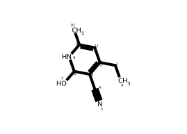 CCC1=C(C#N)C(O)NC(C)=C1